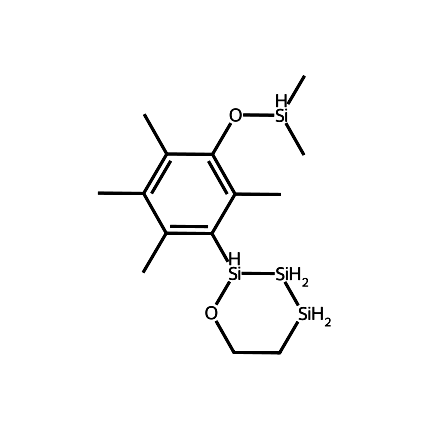 Cc1c(C)c(O[SiH](C)C)c(C)c([SiH]2OCC[SiH2][SiH2]2)c1C